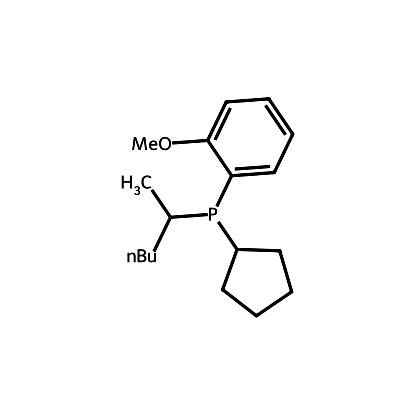 CCCCC(C)P(c1ccccc1OC)C1CCCC1